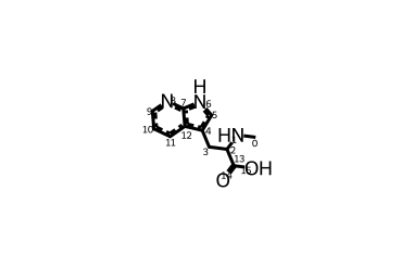 CNC(Cc1c[nH]c2ncccc12)C(=O)O